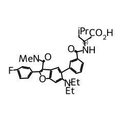 CCN(CC)c1cc2oc(-c3ccc(F)cc3)c(C(=O)NC)c2cc1-c1cccc(C(=O)N[C@H](CC(=O)O)CC(C)C)c1